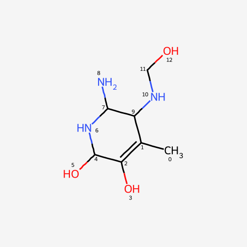 CC1=C(O)C(O)NC(N)C1NCO